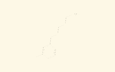 COCOCOCc1cccc(C)c1